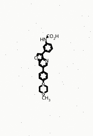 CN1CCN(c2ccc(-c3cnc4c(-c5cccc(NC(=O)O)c5)coc4c3)cc2)CC1